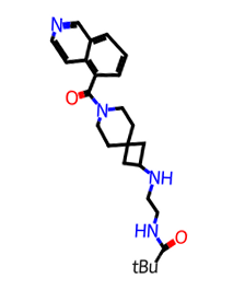 CC(C)(C)C(=O)NCCNC1CC2(CCN(C(=O)c3cccc4cnccc34)CC2)C1